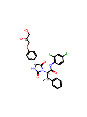 C[C@@H](c1ccccc1)[C@@H](C(=O)Nc1ccc(Br)cc1F)N1C(=O)N[C@H](c2ccc(OC[C@H](O)CO)cc2)C1=O